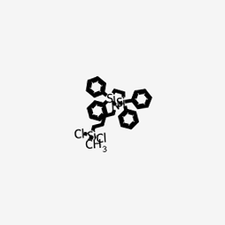 C[Si](Cl)(Cl)CCCCN1[Si](c2ccccc2)(c2ccccc2)CC[Si]1(c1ccccc1)c1ccccc1